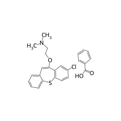 CN(C)CCOC1=Cc2ccccc2Sc2ccc(Cl)cc21.O=C(O)c1ccccc1